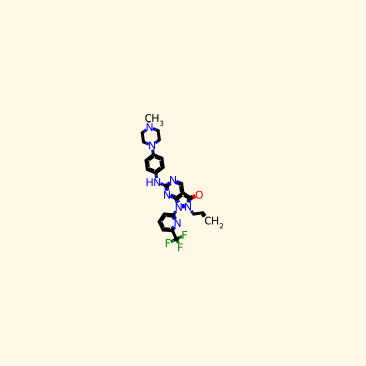 C=CCn1c(=O)c2cnc(Nc3ccc(N4CCN(C)CC4)cc3)nc2n1-c1cccc(C(F)(F)F)n1